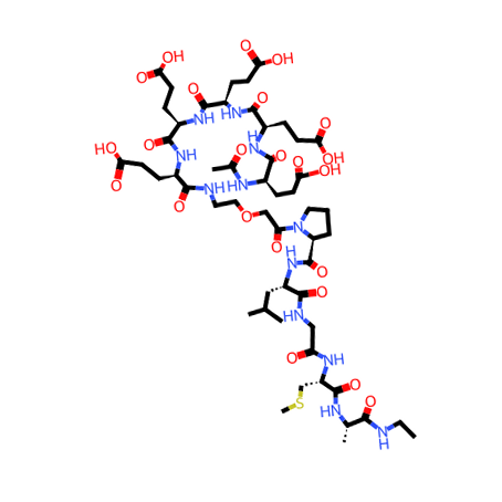 CCNC(=O)[C@H](C)NC(=O)[C@H](CSC)NC(=O)CNC(=O)[C@H](CC(C)C)NC(=O)[C@@H]1CCCN1C(=O)COCCNC(=O)[C@@H](CCC(=O)O)NC(=O)[C@@H](CCC(=O)O)NC(=O)[C@@H](CCC(=O)O)NC(=O)[C@@H](CCC(=O)O)NC(=O)[C@@H](CCC(=O)O)NC(C)=O